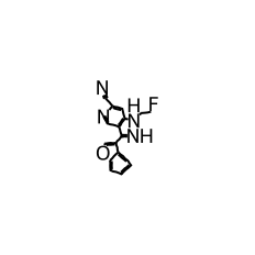 N#Cc1cc(NCCF)c(C(=N)c2coc3ccccc23)cn1